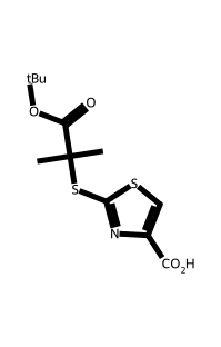 CC(C)(C)OC(=O)C(C)(C)Sc1nc(C(=O)O)cs1